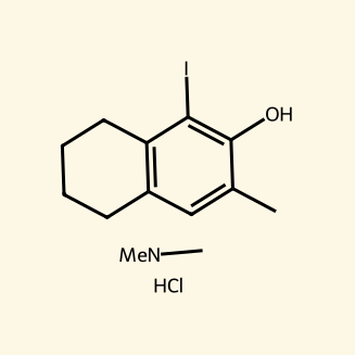 CNC.Cc1cc2c(c(I)c1O)CCCC2.Cl